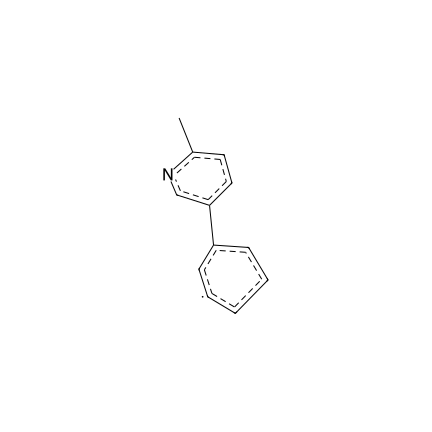 Cc1ccc(-c2c[c]ccc2)cn1